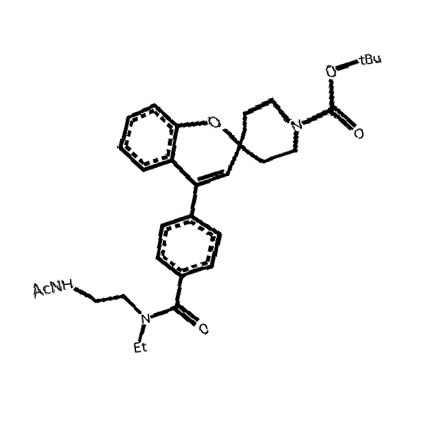 CCN(CCNC(C)=O)C(=O)c1ccc(C2=CC3(CCN(C(=O)OC(C)(C)C)CC3)Oc3ccccc32)cc1